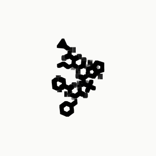 CCC[C@H](NC(=O)[C@@H]1[C@H]2CCC[C@H]2CN1C(=O)[C@@H](NC(=O)[C@H](CC1CCCCC1)NC(=O)c1cnccn1)C(C)(C)C)C(=O)C(=O)NC1CC1